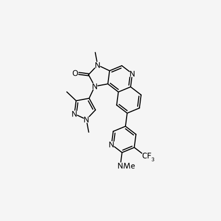 CNc1ncc(-c2ccc3ncc4c(c3c2)n(-c2cn(C)nc2C)c(=O)n4C)cc1C(F)(F)F